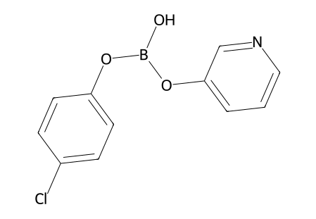 OB(Oc1ccc(Cl)cc1)Oc1cccnc1